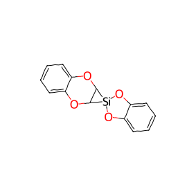 c1ccc2c(c1)OC1C(O2)[Si]12Oc1ccccc1O2